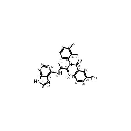 Cc1cccc(-n2c([C@H](C)Nc3ncnc4[nH]cnc34)nc3ccc(F)cc3c2=O)c1C